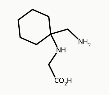 NCC1(NCC(=O)O)CCCCC1